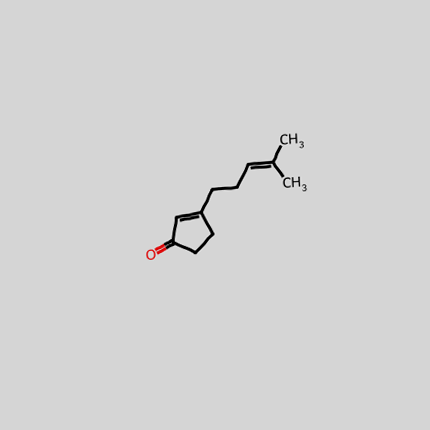 CC(C)=CCCC1=CC(=O)CC1